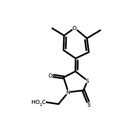 CC1=CC(=C2SC(=S)N(CC(=O)O)C2=O)C=C(C)O1